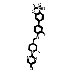 C[C@@H]1Oc2cc(-c3ccc(OC[C@@H]4CCN(c5ncc(Cl)cn5)[C@@H](C)C4)c(F)c3)ccc2S1(=O)=O